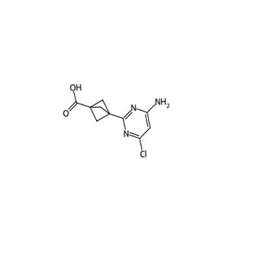 Nc1cc(Cl)nc(C23CC(C(=O)O)(C2)C3)n1